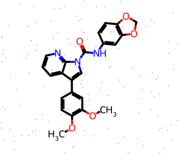 COc1ccc(-c2cn(C(=O)Nc3ccc4c(c3)OCO4)c3ncccc23)cc1OC